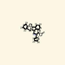 COC(=O)/C(=C\C1c2ccccc2C(=O)N1Cc1ccccc1)c1cccs1